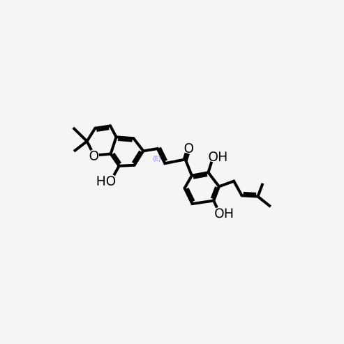 CC(C)=CCc1c(O)ccc(C(=O)/C=C/c2cc(O)c3c(c2)C=CC(C)(C)O3)c1O